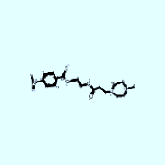 CN1CCN(CCC(=O)OCCOC(=O)c2ccc(N(C)C)cc2)CC1